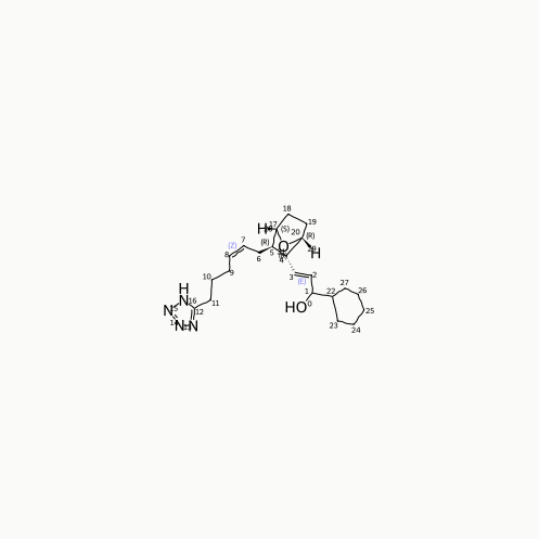 OC(/C=C/[C@@H]1[C@@H](C/C=C\CCCc2nnn[nH]2)[C@@H]2CC[C@H]1O2)C1CCCCC1